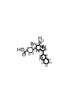 Nc1c(Br)c(C2CCC(C(=O)O)CC2)nc2c(-c3cnc4ccccc4c3)cnn12